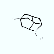 ON1C2CC3CC1CC(F)(C3)C2